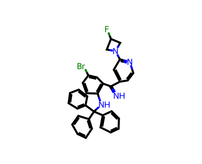 N=C(c1ccnc(N2CC(F)C2)c1)c1cc(Br)ccc1NC(c1ccccc1)(c1ccccc1)c1ccccc1